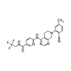 Cc1ccc(C#N)c(N2CCc3c(ncnc3Nc3ccc(C(=O)NCC(F)(F)F)cn3)C2)c1